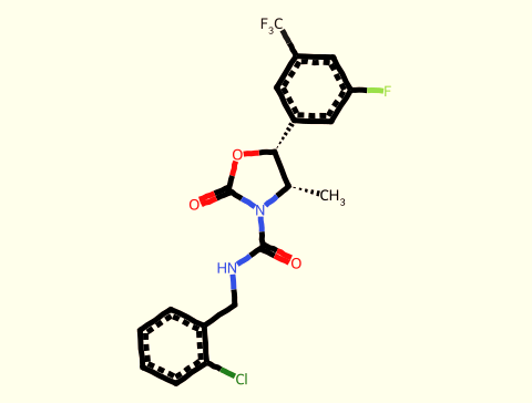 C[C@H]1[C@@H](c2cc(F)cc(C(F)(F)F)c2)OC(=O)N1C(=O)NCc1ccccc1Cl